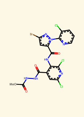 COC(=O)NNC(=O)c1cc(Cl)nc(Cl)c1NC(=O)c1cc(Br)nn1-c1ncccc1Cl